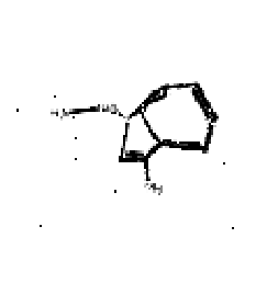 NNn1cc(O)c2ccccc21